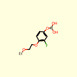 CCOCCOc1ccc(OB(O)O)cc1F